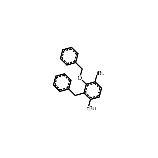 CCC(C)c1c[c]c(C(C)(C)C)c(Cc2ccccc2)c1OCc1ccccc1